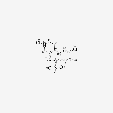 Cc1cc(N(C(F)(F)F)S(C)(=O)=O)c(C2CCN(Cl)CC2)cc1Cl